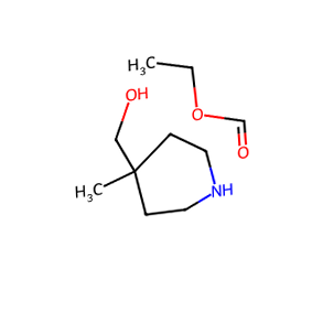 CC1(CO)CCNCC1.CCOC=O